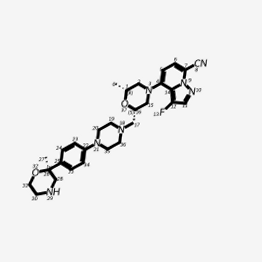 C[C@@H]1CN(c2ccc(C#N)n3ncc(F)c23)C[C@H](CN2CCN(c3ccc([C@@]4(C)CNCCO4)cc3)CC2)O1